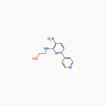 O=[N+]([O-])c1ccc(-c2ccncc2)nc1NCCO